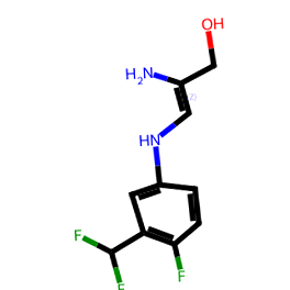 N/C(=C\Nc1ccc(F)c(C(F)F)c1)CO